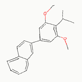 COc1cc(-c2ccc3ccccc3c2)cc(OC)c1C(C)C